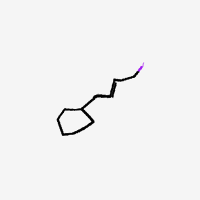 ICC=CCC1CCCCC1